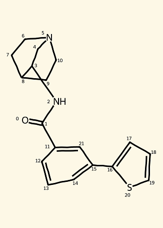 O=C(NC1CN2CCC1CC2)c1cccc(-c2cccs2)c1